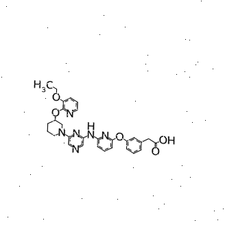 CCOc1cccnc1O[C@@H]1CCCN(c2cncc(Nc3cccc(Oc4cccc(CC(=O)O)c4)n3)n2)C1